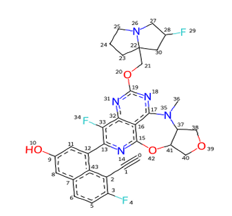 C#Cc1c(F)ccc2cc(O)cc(-c3nc4c5c(nc(OCC67CCCN6CC(F)C7)nc5c3F)N(C)C3COCC3O4)c12